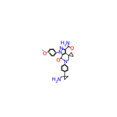 COc1ccc(-n2nc(C(N)=O)c3c2C(=O)N(c2ccc(C4(CN)CC4)cc2)CC32CC2)cc1